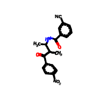 CC(NC(=O)c1cccc(C#N)c1)C(C)C(=O)c1ccc([N+](=O)[O-])cc1